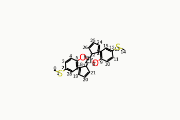 CSc1ccc([O][Zr]([O]c2ccc(SC)cc2)([CH]2C=CC=C2)[CH]2C=CC=C2)cc1